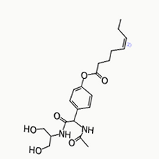 CC/C=C\CCCC(=O)Oc1ccc(C(NC(C)=O)C(=O)NC(CO)CO)cc1